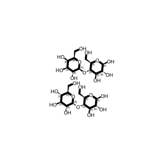 OC[C@H]1O[C@@H](O[C@H]2[C@H](O)[C@@H](O)[C@H](O)O[C@@H]2CO)[C@H](O)[C@@H](O)[C@H]1O.OC[C@H]1O[C@H](O[C@H]2[C@H](O)[C@@H](O)[C@H](O)O[C@@H]2CO)[C@H](O)[C@@H](O)[C@@H]1O